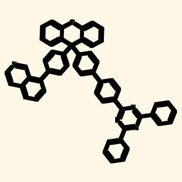 c1ccc(-c2nc(-c3ccccc3)nc(-c3ccc(-c4ccc(C5(c6ccc(-c7cccc8ccncc78)cc6)c6ccccc6Oc6ccccc65)cc4)cc3)n2)cc1